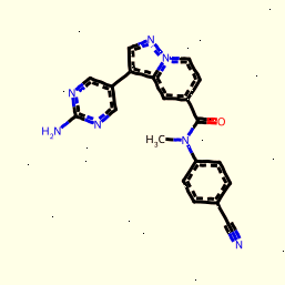 CN(C(=O)c1ccn2ncc(-c3cnc(N)nc3)c2c1)c1ccc(C#N)cc1